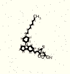 CCCCCCCCSc1ccc(N2c3ccc(/C=C4\SC(=S)N(CC(=O)O)C4=O)cc3C3CCCC32)cc1